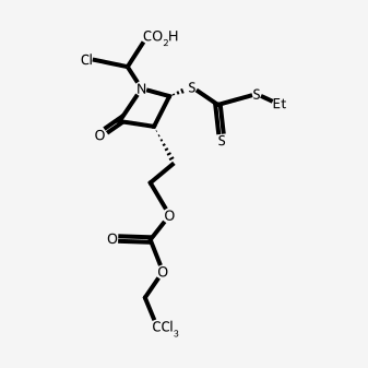 CCSC(=S)S[C@@H]1[C@H](CCOC(=O)OCC(Cl)(Cl)Cl)C(=O)N1C(Cl)C(=O)O